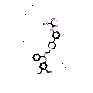 CC(C)C(=O)Nc1cccc(C2CCN(CC[C@H](Oc3ccc(CI)c(CI)c3)c3ccccc3)CC2)c1